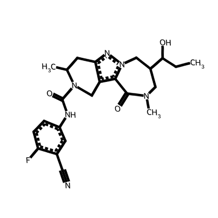 CCC(O)C1CN(C)C(=O)c2c3c(nn2C1)CC(C)N(C(=O)Nc1ccc(F)c(C#N)c1)C3